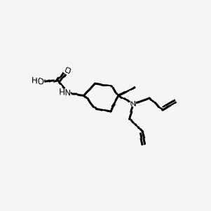 C=CCN(CC=C)C1(C)CCC(NC(=O)O)CC1